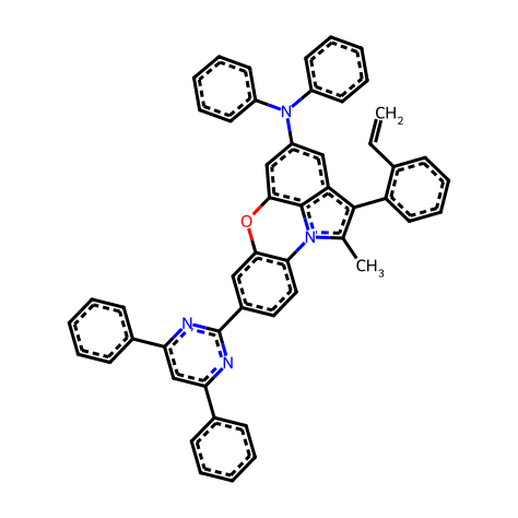 C=Cc1ccccc1-c1c(C)n2c3c(cc(N(c4ccccc4)c4ccccc4)cc13)Oc1cc(-c3nc(-c4ccccc4)cc(-c4ccccc4)n3)ccc1-2